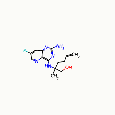 C=CCCC(C)(CO)Nc1nc(N)nc2cc(F)cnc12